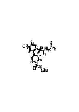 Cc1cc(C(C)(C)C(=O)N=CN(C)C)c(C2CCN(C(=O)OC(C)(C)C)CC2)cc1Cl